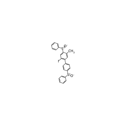 Cc1cc(-c2ccc([S+]([O-])c3ccccc3)cc2)c(I)cc1[S+]([O-])c1ccccc1